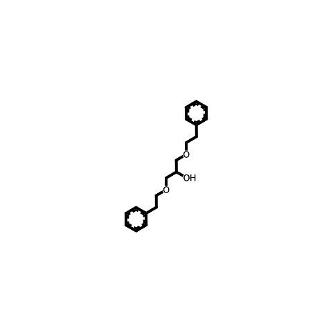 OC(COCCc1ccccc1)COCCc1ccccc1